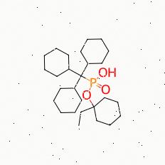 CCC1(OP(=O)(O)C(C2CCCCC2)(C2CCCCC2)C2CCCCC2)CCCCC1